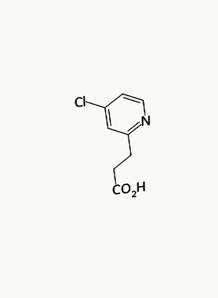 O=C(O)CCc1cc(Cl)ccn1